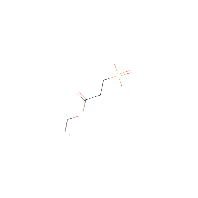 CCOC(=O)CCP(=O)(O)O